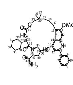 COc1cc2nc(-c3ccccc3)cc3c2cc1CCCC(C)(C)COC(=O)N[C@@H](C1CCCCC1)C(=O)N1C[C@@H](C[C@H]1C(N)=O)O3